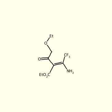 CCOCC(=O)/C(C(=O)OCC)=C(/N)C(F)(F)F